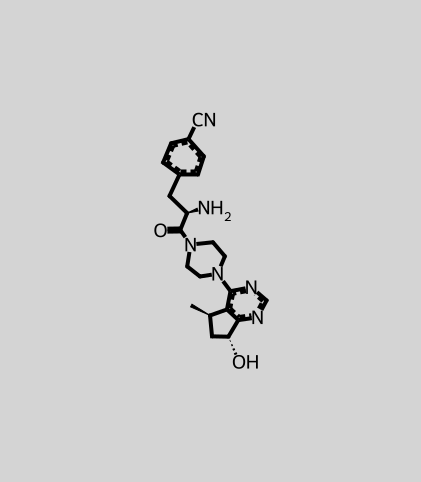 C[C@@H]1C[C@@H](O)c2ncnc(N3CCN(C(=O)[C@H](N)Cc4ccc(C#N)cc4)CC3)c21